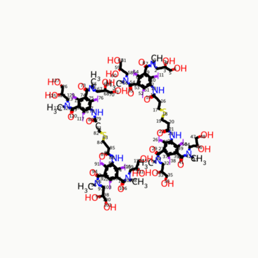 CN(CC(O)CO)C(=O)c1c(I)c(NC(=O)CCSCCC(=O)Nc2c(I)c(C(=O)N(C)CC(O)CO)c(I)c(C(=O)N(C)CC(O)CO)c2I)c(I)c(C(=O)N(C)CC(O)CO)c1I.CN(CC(O)CO)C(=O)c1c(I)c(NC(=O)CCSCCC(=O)Nc2c(I)c(C(=O)N(C)CC(O)CO)c(I)c(C(=O)N(C)CC(O)CO)c2I)c(I)c(C(=O)N(C)CC(O)CO)c1I